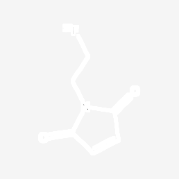 O=C1C=CC(=O)N1CC[18F]